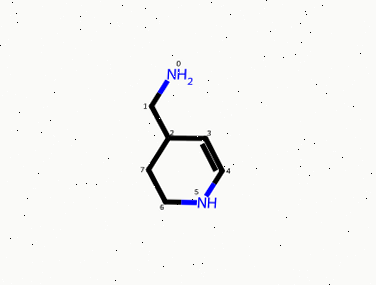 NCC1C=CNCC1